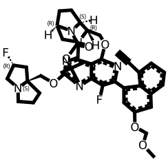 C#Cc1cccc2cc(OCOC)cc(-c3nc4c5c(nc(OC[C@@]67CCCN6C[C@H](F)C7)nc5c3F)N3C[C@H]5CC[C@@H]([C@@H]3CO4)N5C(=O)OC(C)(C)C)c12